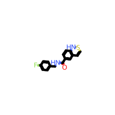 O=C(NCc1ccc(F)cc1)c1ccc2c(c1)C=CSN2